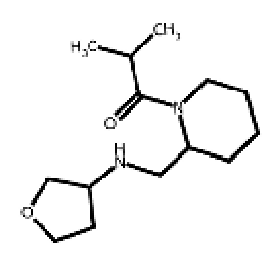 CC(C)C(=O)N1CCCCC1CNC1CCOC1